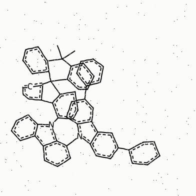 CC1(C)c2ccccc2C2(c3ccccc3-c3c(-n4c5ccccc5c5cccc(-n6c7ccc(-c8ccccc8)cc7c7cc(-c8ccccc8)ccc76)c54)cccc32)c2ccccc21